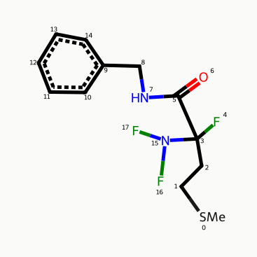 CSCCC(F)(C(=O)NCc1ccccc1)N(F)F